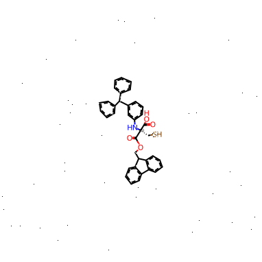 O=C(O)[C@](CS)(Nc1cccc(C(c2ccccc2)c2ccccc2)c1)C(=O)OCC1c2ccccc2-c2ccccc21